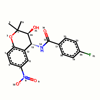 CC1(C)Oc2ccc([N+](=O)[O-])cc2[C@@H](NC(=O)c2ccc(F)cc2)[C@@H]1O